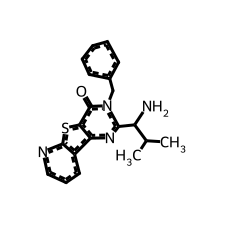 CC(C)C(N)c1nc2c(sc3ncccc32)c(=O)n1Cc1ccccc1